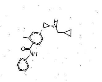 Cc1cc([C@@H]2C[C@H]2NCC2CC2)ccc1C(=O)Nc1ccccc1